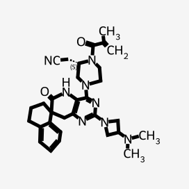 C=C(C)C(=O)N1CCN(c2nc(N3CC(N(C)C)C3)nc3c2NC(=O)C2(CCCc4ccccc42)C3)C[C@@H]1CC#N